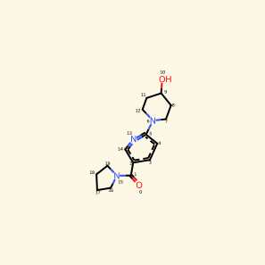 O=C(c1ccc(N2CCC(O)CC2)nc1)N1CCCC1